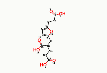 O=C(O)CCc1ccc(CC(CCC(=O)O)C(=O)O)o1